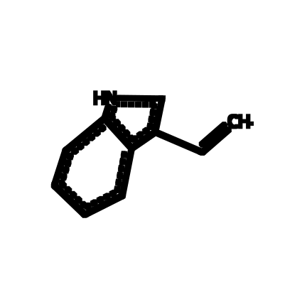 [CH]=Cc1c[nH]c2ccccc12